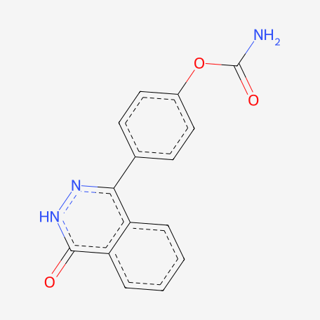 NC(=O)Oc1ccc(-c2n[nH]c(=O)c3ccccc23)cc1